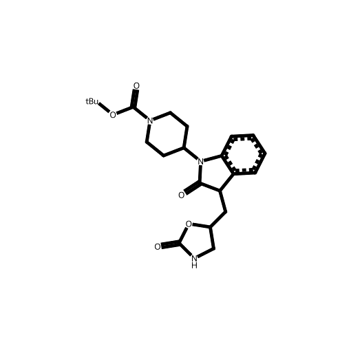 CC(C)(C)OC(=O)N1CCC(N2C(=O)C(CC3CNC(=O)O3)c3ccccc32)CC1